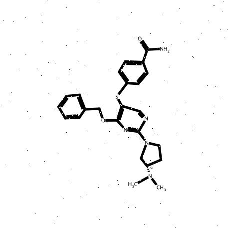 CN(C)[C@H]1CCN(c2ncc(Sc3ccc(C(N)=O)cc3)c(OCc3ccccc3)n2)C1